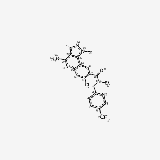 CCN(Cc1ccc(C(F)(F)F)cn1)C(=O)c1cc2c(cc1Cl)nc(N)c1cnn(C)c12